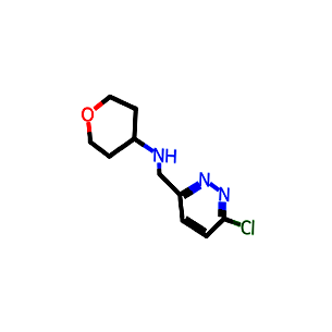 Clc1ccc(CNC2CCOCC2)nn1